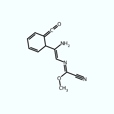 COC(C#N)=NC=C(N)C1C=CC=CC1=C=O